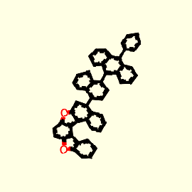 c1ccc(-c2c3ccccc3c(-c3ccc(-c4cc5oc6ccc7oc8ccccc8c7c6c5c5ccccc45)c4ccccc34)c3ccccc23)cc1